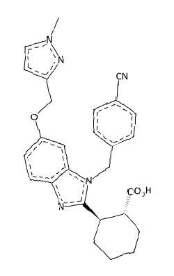 Cn1ccc(COc2ccc3nc([C@@H]4CCCC[C@H]4C(=O)O)n(Cc4ccc(C#N)cc4)c3c2)n1